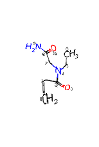 C=CC(=O)N(CC)CC(N)=O